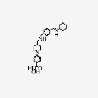 O=C(NO)c1ccc(N2CCC(CNCc3ccc(CNC4CCCCC4)cc3)CC2)cc1